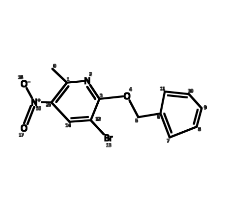 Cc1nc(OCc2ccccc2)c(Br)cc1[N+](=O)[O-]